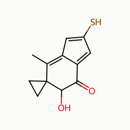 CC1=C2C=C(S)C=C2C(=O)C(O)C12CC2